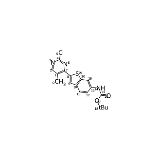 Cc1cnc(Cl)nc1-c1cc2ccc(NC(=O)OC(C)(C)C)cc2s1